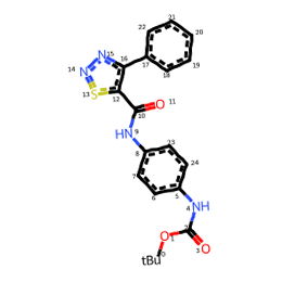 CC(C)(C)OC(=O)Nc1ccc(NC(=O)c2snnc2-c2ccccc2)cc1